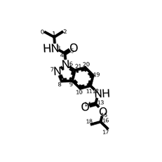 CC(C)NC(=O)n1ncc2cc(NC(=O)OC(C)C)ccc21